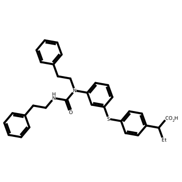 CCC(C(=O)O)c1ccc(Sc2cccc(N(CCc3ccccc3)C(=O)NCCc3ccccc3)c2)cc1